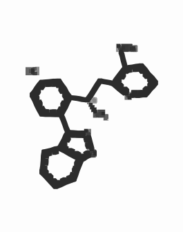 CC(=O)Nc1cccnc1C[C@H](N)c1ccccc1-c1noc2ccccc12.Cl